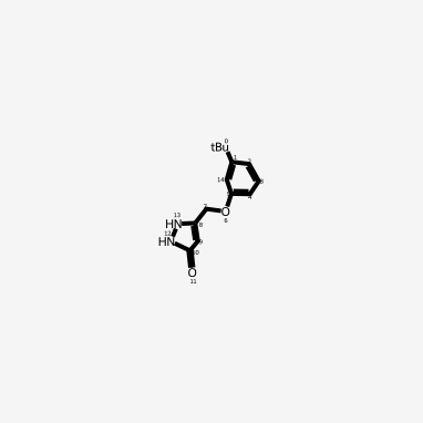 CC(C)(C)c1cccc(OCc2cc(=O)[nH][nH]2)c1